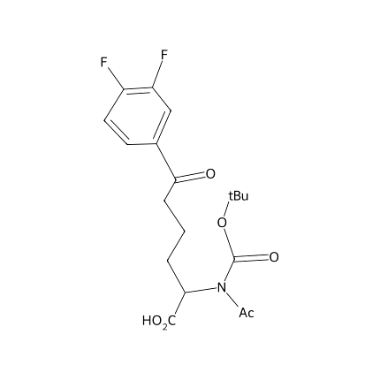 CC(=O)N(C(=O)OC(C)(C)C)C(CCCC(=O)c1ccc(F)c(F)c1)C(=O)O